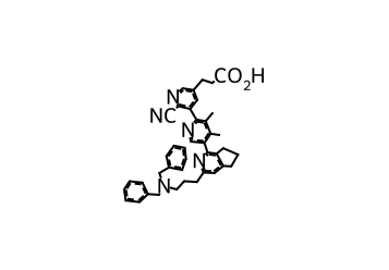 Cc1c(-c2nc(CCCN(Cc3ccccc3)Cc3ccccc3)cc3c2CCC3)cnc(-c2cc(CCC(=O)O)cnc2C#N)c1C